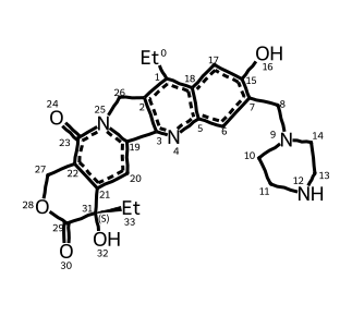 CCc1c2c(nc3cc(CN4CCNCC4)c(O)cc13)-c1cc3c(c(=O)n1C2)COC(=O)[C@]3(O)CC